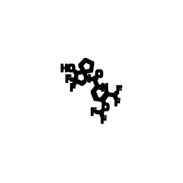 O=C(c1ccc(OC(F)F)c(C(F)F)n1)N1CC(F)(F)C(O)C12CCCC2